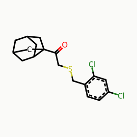 O=C(CSCc1ccc(Cl)cc1Cl)C12CC3CC(CC1C3)C2